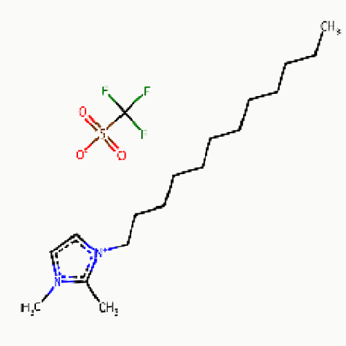 CCCCCCCCCCCC[n+]1ccn(C)c1C.O=S(=O)([O-])C(F)(F)F